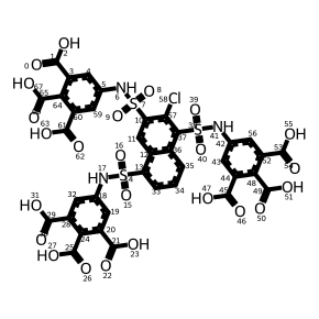 O=C(O)c1cc(NS(=O)(=O)c2cc3c(S(=O)(=O)Nc4cc(C(=O)O)c(C(=O)O)c(C(=O)O)c4)cccc3c(S(=O)(=O)Nc3cc(C(=O)O)c(C(=O)O)c(C(=O)O)c3)c2Cl)cc(C(=O)O)c1C(=O)O